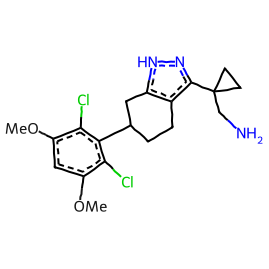 COc1cc(OC)c(Cl)c(C2CCc3c(C4(CN)CC4)n[nH]c3C2)c1Cl